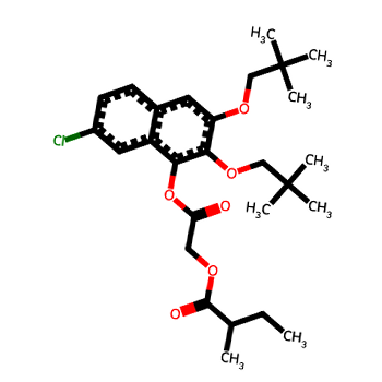 CCC(C)C(=O)OCC(=O)Oc1c(OCC(C)(C)C)c(OCC(C)(C)C)cc2ccc(Cl)cc12